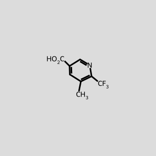 Cc1cc(C(=O)O)cnc1C(F)(F)F